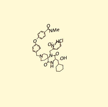 CNC(=O)c1ccc(Oc2ccc(CN3CCC4(CC3)C(=O)N[C@H]([C@H](O)C3CCCCC3)C(=O)N4Cc3cccc[n+]3[O-])cc2)cc1.Cl